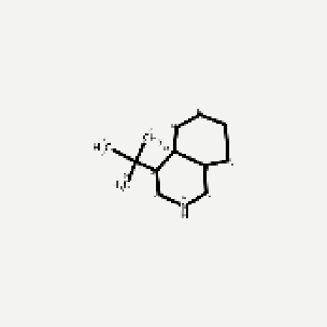 CC(C)(C)C1CNCC2CCCCC21